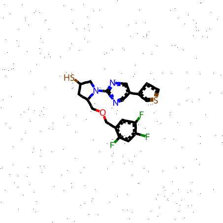 Fc1cc(F)c(COCC2CC(S)CN2c2ncc(-c3ccsc3)cn2)cc1F